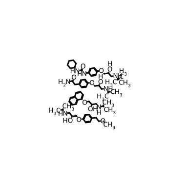 CC(C)(C)NCC(O)COc1ccc(NC(=O)NC2CCCCC2)cc1.CC(C)NCC(O)COc1ccc(CC(N)=O)cc1.CC(C)NCC(O)COc1cccc2ccccc12.COCCc1ccc(OCC(O)CNC(C)C)cc1